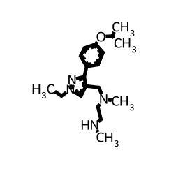 CCn1cc(CN(C)CCNC)c(-c2ccc(OC(C)C)cc2)n1